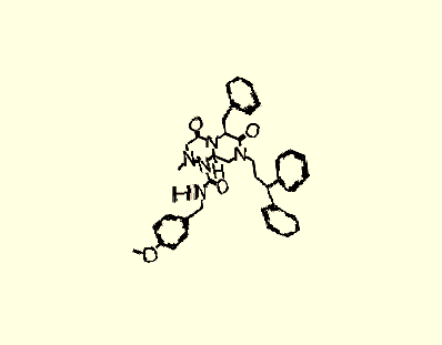 COc1ccc(CNC(=O)N2[C@H]3CN(CCC(c4ccccc4)c4ccccc4)C(=O)[C@H](Cc4ccccc4)N3C(=O)CN2C)cc1